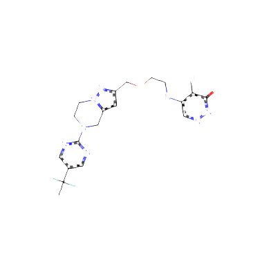 C[C@@H](COCc1cc2n(n1)CCN(c1ncc(C(C)(F)F)cn1)C2)Nc1cn[nH]c(=O)c1C(F)(F)F